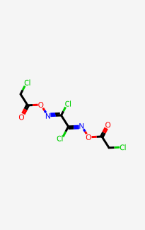 O=C(CCl)ON=C(Cl)C(Cl)=NOC(=O)CCl